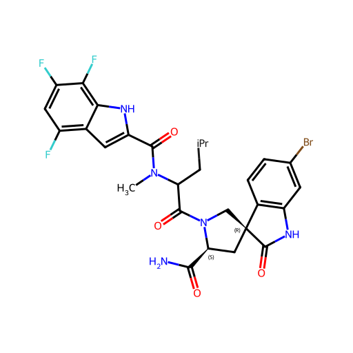 CC(C)CC(C(=O)N1C[C@]2(C[C@H]1C(N)=O)C(=O)Nc1cc(Br)ccc12)N(C)C(=O)c1cc2c(F)cc(F)c(F)c2[nH]1